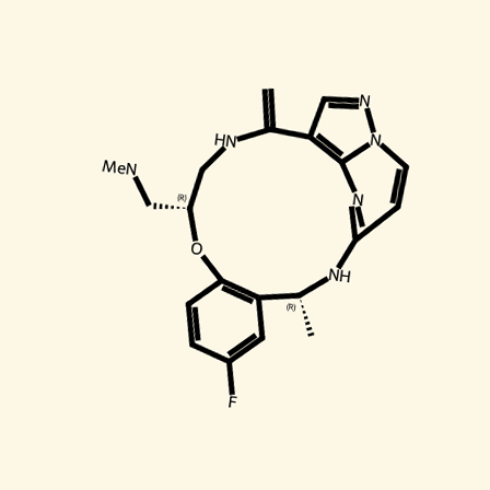 C=C1NC[C@@H](CNC)Oc2ccc(F)cc2[C@@H](C)Nc2ccn3ncc1c3n2